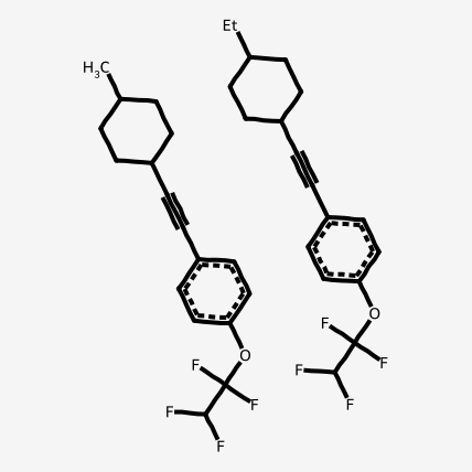 CC1CCC(C#Cc2ccc(OC(F)(F)C(F)F)cc2)CC1.CCC1CCC(C#Cc2ccc(OC(F)(F)C(F)F)cc2)CC1